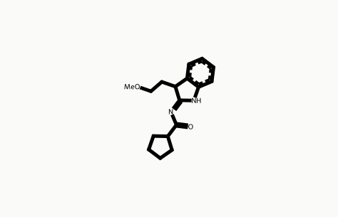 COCCC1C(=NC(=O)C2CCCC2)Nc2ccccc21